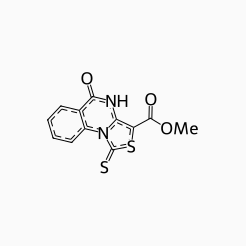 COC(=O)c1sc(=S)n2c1[nH]c(=O)c1ccccc12